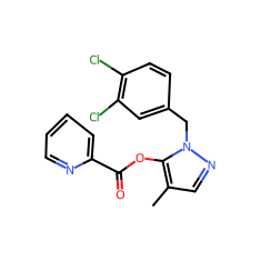 Cc1cnn(Cc2ccc(Cl)c(Cl)c2)c1OC(=O)c1ccccn1